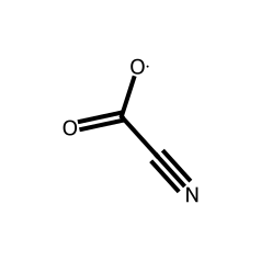 N#CC([O])=O